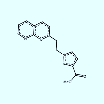 COC(=O)c1ccn(CCc2ccc3cccnc3n2)n1